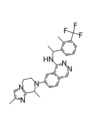 Cc1cn2c(n1)C(C)N(c1ccc3cnnc(NC(C)c4cccc(C(F)(F)F)c4C)c3c1)CC2